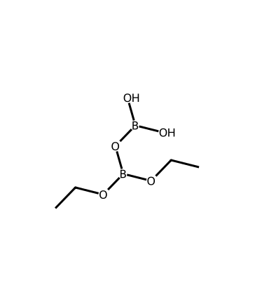 CCOB(OCC)OB(O)O